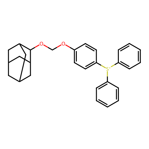 c1ccc([S+](c2ccccc2)c2ccc(OCOC3C4CC5CC(C4)CC3C5)cc2)cc1